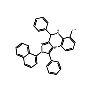 CC(C)c1cccc(C(C)C)c1NC(c1ccccc1)c1cc(-c2ccccc2)n(-c2cccc3ccccc23)n1